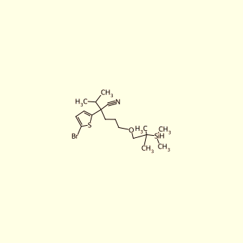 CC(C)C(C#N)(CCCOCC(C)(C)[SiH](C)C)c1ccc(Br)s1